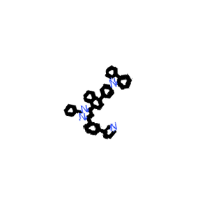 c1ccc(-c2nc(-c3cccc(-c4cccnc4)c3)cc(-c3ccc(-c4ccc(-n5c6ccccc6c6ccccc65)cc4)c4ccccc34)n2)cc1